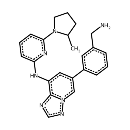 CC1CCCN1c1cccc(Nc2cc(-c3cccc(CN)c3)cn3ncnc23)n1